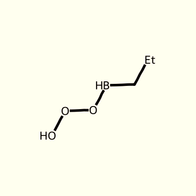 CCCBOOO